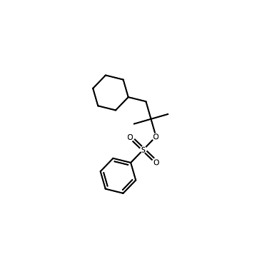 CC(C)(CC1CCCCC1)OS(=O)(=O)c1ccccc1